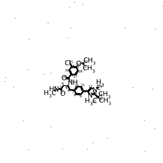 CNC(=O)C[C@H](Cc1ccc(-c2cn(C)c(C(C)(C)C)n2)cc1)NC(=O)c1ccc(OC(C)C)c(Cl)c1